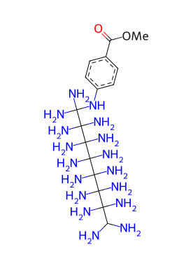 COC(=O)c1ccc(NC(N)(N)C(N)(N)C(N)(N)C(N)(N)C(N)(N)C(N)(N)C(N)(N)C(N)N)cc1